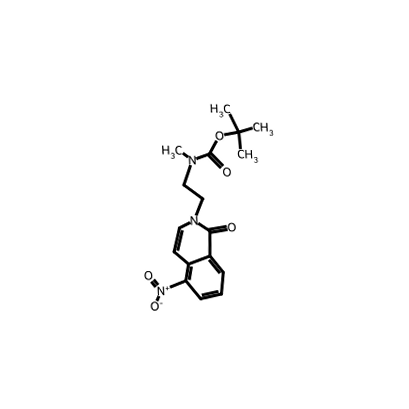 CN(CCn1ccc2c([N+](=O)[O-])cccc2c1=O)C(=O)OC(C)(C)C